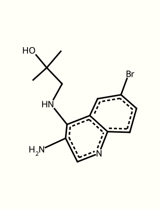 CC(C)(O)CNc1c(N)cnc2ccc(Br)cc12